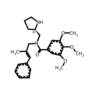 COc1cc(C(=O)N(CC(C)=Cc2ccccc2)C[C@H]2CCCN2)cc(OC)c1OC